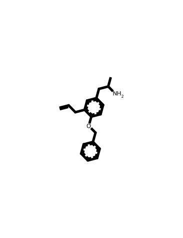 C=CCc1cc(CC(C)N)ccc1OCc1ccccc1